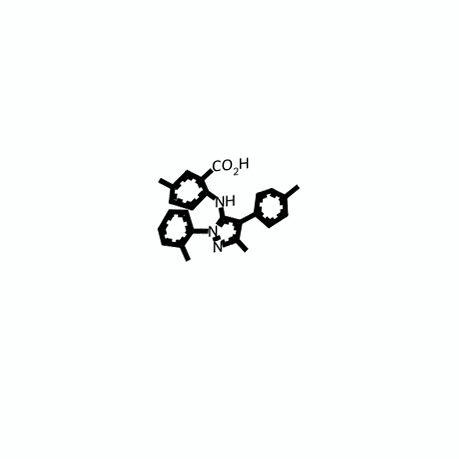 Cc1ccc(-c2c(C)nn(-c3ccccc3C)c2Nc2ccc(C)cc2C(=O)O)cc1